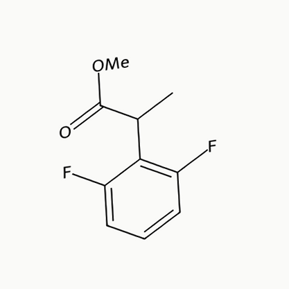 COC(=O)C(C)c1c(F)cccc1F